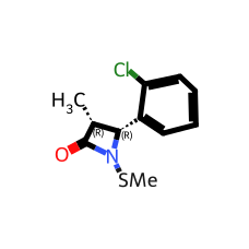 CSN1C(=O)[C@H](C)[C@@H]1c1ccccc1Cl